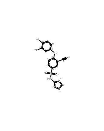 N#Cc1cc(S(=O)(=O)Nc2ncns2)ccc1Sc1ccc(F)c(F)c1